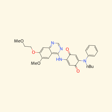 CCCCN(C1=CC(=O)C(Nc2ncnc3cc(OCCOC)c(OC)cc23)=CC1=O)c1ccccc1